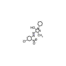 Cc1nn(-c2ccccc2)c(O)c1/N=N/c1ccc(Cl)cc1[N+](=O)[O-]